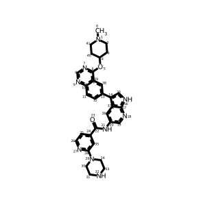 CN1CCC(Oc2ncnc3ccc(-c4c[nH]c5ncc(NC(=O)c6ccnc(N7CCNCC7)c6)cc45)cc23)CC1